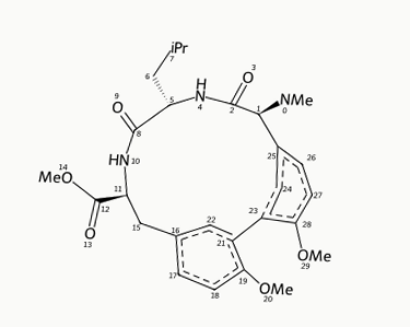 CN[C@@H]1C(=O)N[C@@H](CC(C)C)C(=O)N[C@H](C(=O)OC)Cc2ccc(OC)c(c2)-c2cc1ccc2OC